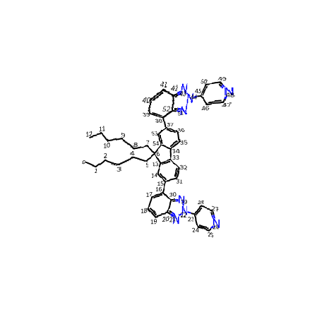 CCCCCCC1(CCCCCC)c2cc(-c3cccc4nn(-c5ccncc5)nc34)ccc2-c2ccc(-c3cccc4nn(-c5ccncc5)nc34)cc21